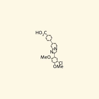 COc1cc(OC)c(-c2cn3ccc(-c4ccc(C(=O)O)cc4)cc3n2)cc1Cl